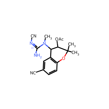 CC(=O)OC1C(N(C)/C(N)=N\C#N)c2cc(C#N)ccc2OC1(C)C